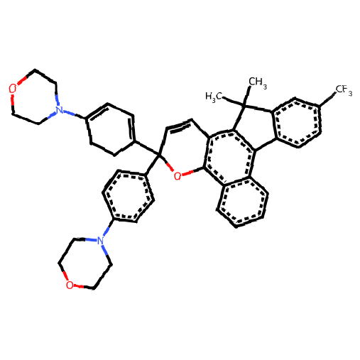 CC1(C)c2cc(C(F)(F)F)ccc2-c2c1c1c(c3ccccc23)OC(C2=CC=C(N3CCOCC3)CC2)(c2ccc(N3CCOCC3)cc2)C=C1